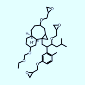 CCOCOC1CC[C@H]2CCC(OCC3CO3)CC3CC3(CC(c3cc(OCC4CO4)ccc3C)C(CC(C)C)OCC3CO3)[C@H]2C1